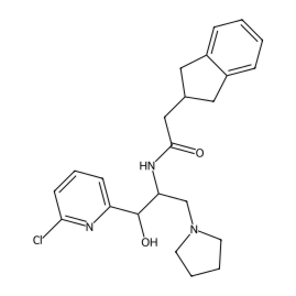 O=C(CC1Cc2ccccc2C1)NC(CN1CCCC1)C(O)c1cccc(Cl)n1